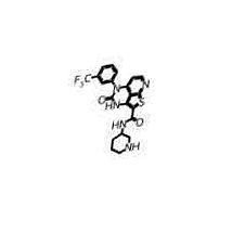 O=C(NC1CCCNC1)c1sc2nccc3c2c1NC(=O)N3c1cccc(C(F)(F)F)c1